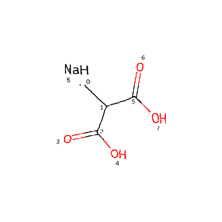 [CH2]C(C(=O)O)C(=O)O.[NaH]